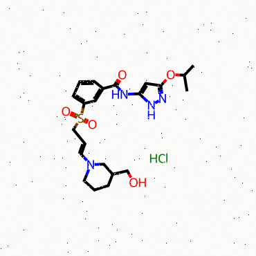 CC(C)Oc1cc(NC(=O)c2cccc(S(=O)(=O)CC=CN3CCCC(CO)C3)c2)[nH]n1.Cl